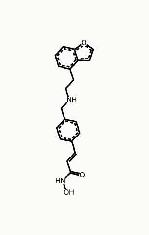 O=C(/C=C/c1ccc(CNCCc2cccc3occc23)cc1)NO